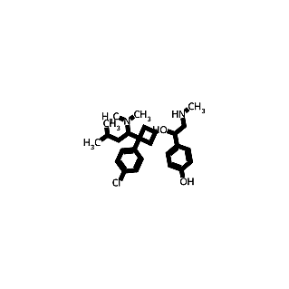 CC(C)CC(N(C)C)C1(c2ccc(Cl)cc2)CCC1.CNCC(O)c1ccc(O)cc1